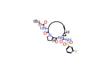 CC(C)(C)OC(=O)N[C@H]1CCCCC/C=C\[C@@H]2C[C@@]2(C(=O)NS(=O)(=O)c2cccc(F)c2)NC(=O)[C@@H]2CCCN2C1=O